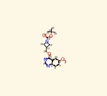 COc1ccc2ncnc(OCC3CN(C(=O)OC(C)(C)C)C3)c2c1